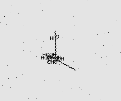 CCCCCCCCCCCCCC[C@@H](O)[C@@H](O)[C@H](CO[C@H]1O[C@H](CO)[C@H](O)[C@H](O)[C@H]1O)NC(=O)CCCCCCCCCCCNC(=O)CCCC